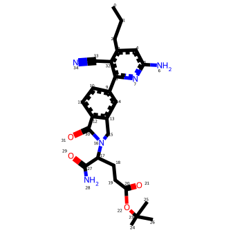 CCCc1cc(N)nc(-c2ccc3c(c2)CN(C(CCC(=O)OC(C)(C)C)C(N)=O)C3=O)c1C#N